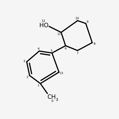 Cc1cccc(C2CCCCC2O)c1